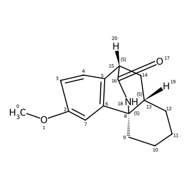 COc1ccc2c(c1)[C@]13CCCC[C@H]1C[C@@H]2C(=O)N3